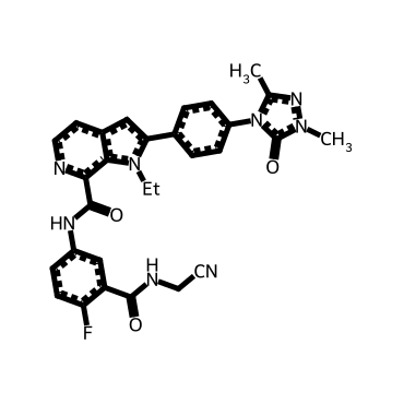 CCn1c(-c2ccc(-n3c(C)nn(C)c3=O)cc2)cc2ccnc(C(=O)Nc3ccc(F)c(C(=O)NCC#N)c3)c21